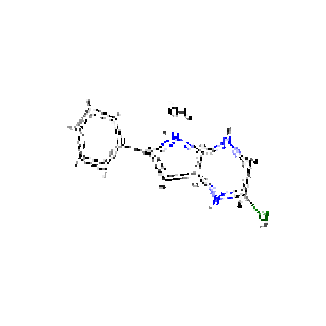 Cn1c(-c2ccccc2)cc2nc(Cl)cnc21